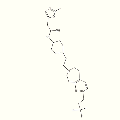 Cc1ncc(CC(O)NC2CCC(CCN3CCc4ccc(CCC(F)(F)F)nc4CC3)CC2)o1